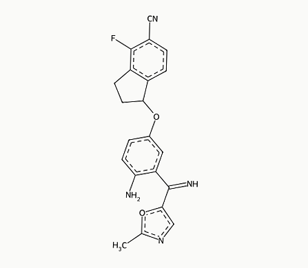 Cc1ncc(C(=N)c2cc(OC3CCc4c3ccc(C#N)c4F)ccc2N)o1